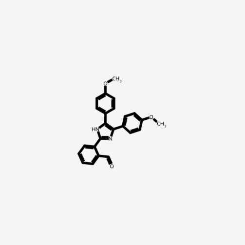 COc1ccc(-c2nc(-c3ccccc3C=O)[nH]c2-c2ccc(OC)cc2)cc1